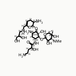 CN[C@@H]1[C@@H](O)[C@@H](O[C@@H]2[C@@H](O)[C@H](O[C@H]3OC(CNCC(O)CO)=CC[C@H]3N)[C@@H](N)C[C@H]2NC(=O)[C@@H](O)CCN)OC[C@]1(C)O